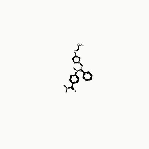 COCO[C@H]1CCN(C[C@H](c2ccccc2)N(C)c2ccc(C(=O)N(C)C)cc2)C1